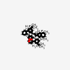 Cc1cc2c3c(c1)N1c4c(cc(C(C)(C)C)cc4C4(C)CCCCC14C)B3c1oc3cc4c(cc3c1N2c1ccc(C(C)(C)C)cc1-c1ccccc1)C(C)(C)CCC4(C)C